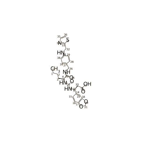 CCCC[C@H](NC(=O)N[C@@H](CC(=O)O)c1ccc2c(c1)OCO2)C(=O)NCc1ccc(NCc2nccs2)cc1